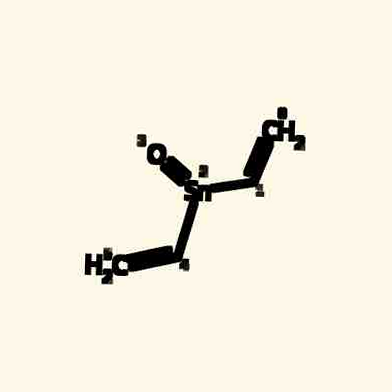 C=[CH][Sn](=[O])[CH]=C